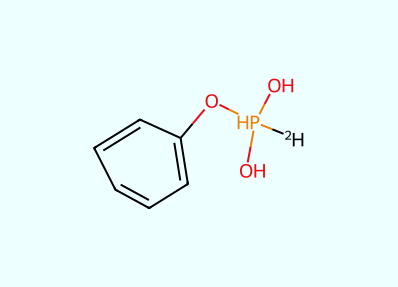 [2H][PH](O)(O)Oc1ccccc1